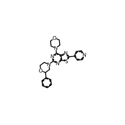 c1ccc(C2CN(c3nc(N4CCOCC4)c4nc(-c5ccncc5)sc4n3)CCO2)cc1